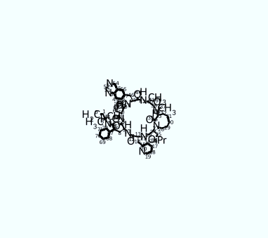 C=CC(C)(C)n1cc(C[C@@H]2NC(=O)[C@H](Cc3ccccn3)NC(=O)[C@H](CC(C)C)N3CC/C=C\C[C@@H](C3=O)N(C)C(=O)[C@H](C)NC(=O)[C@H](Cc3ccc4ncncc4c3)NC(=O)[C@H](CC(C)C)N(C)C2=O)c2ccccc21